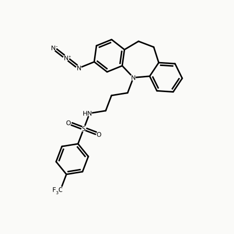 [N-]=[N+]=Nc1ccc2c(c1)N(CCCNS(=O)(=O)c1ccc(C(F)(F)F)cc1)c1ccccc1CC2